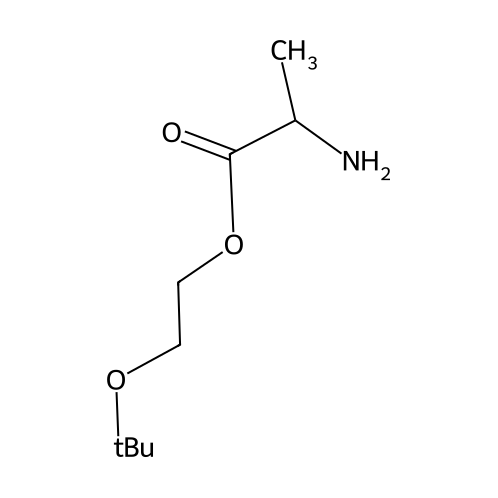 CC(N)C(=O)OCCOC(C)(C)C